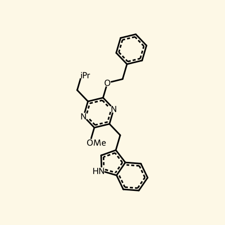 COc1nc(CC(C)C)c(OCc2ccccc2)nc1Cc1c[nH]c2ccccc12